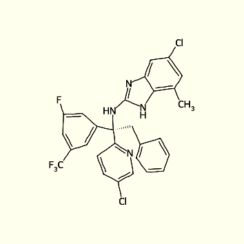 Cc1cc(Cl)cc2nc(N[C@](Cc3ccccc3)(c3cc(F)cc(C(F)(F)F)c3)c3ccc(Cl)cn3)[nH]c12